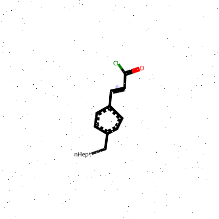 CCCCCCCCc1ccc(/C=C/C(=O)Cl)cc1